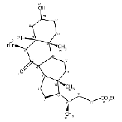 CCC[C@@H]1C(=O)C2C3CC[C@H]([C@H](C)CCC(=O)OCC)[C@@]3(C)CCC2[C@@]2(C)CCC(O)C[C@@H]12